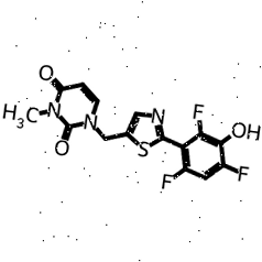 Cn1c(=O)ccn(Cc2cnc(-c3c(F)cc(F)c(O)c3F)s2)c1=O